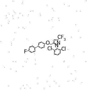 Fc1ccc(-c2ccc(OCc3cc(C(F)(F)F)nn3-c3c(Cl)cccc3Cl)cc2)cc1